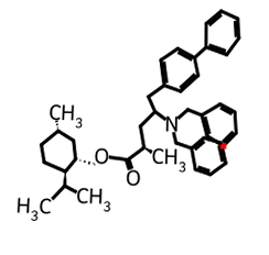 CC(C)[C@H]1CC[C@H](C)C[C@@H]1COC(=O)[C@H](C)CC(Cc1ccc(-c2ccccc2)cc1)N(Cc1ccccc1)Cc1ccccc1